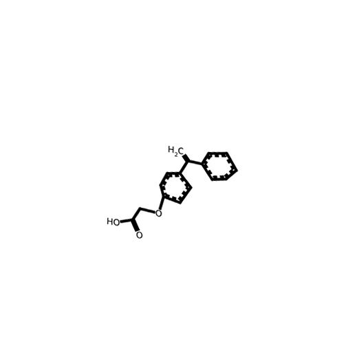 C=C(c1ccccc1)c1ccc(OCC(=O)O)cc1